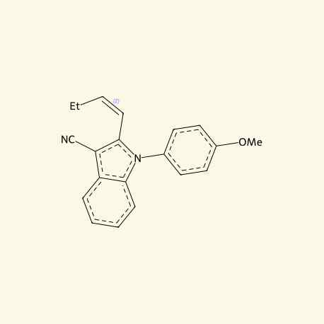 CC/C=C\c1c(C#N)c2ccccc2n1-c1ccc(OC)cc1